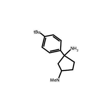 CNC1CCC(N)(c2ccc(C(C)(C)C)cc2)C1